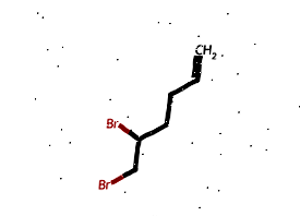 C=CCCC(Br)CBr